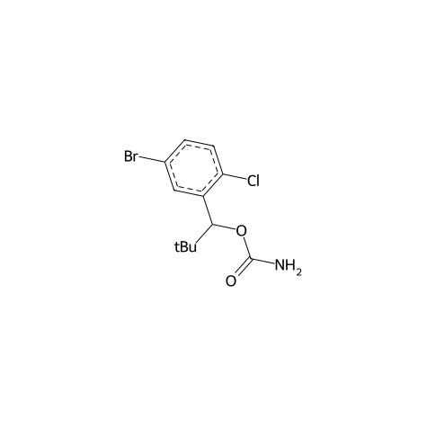 CC(C)(C)C(OC(N)=O)c1cc(Br)ccc1Cl